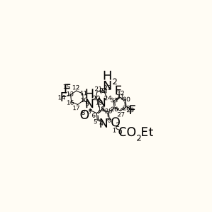 CCOC(=O)COc1ncc(C(=O)NC2CCC(F)(F)CC2)c(N2CC[C@H](N)C2)c1-c1cc(F)cc(F)c1